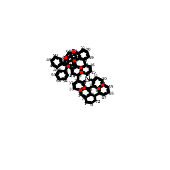 C1=Cc2cccc(-c3ccccc3N(c3ccc(-c4cccc5sc6ccccc6c45)cc3)c3ccccc3-c3ccc4c(c3)C(c3ccccc3)(c3ccccc3)c3ccccc3-4)c2C(c2ccccc2)C1